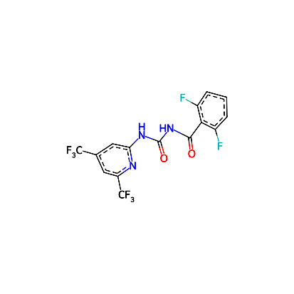 O=C(NC(=O)c1c(F)cccc1F)Nc1cc(C(F)(F)F)cc(C(F)(F)F)n1